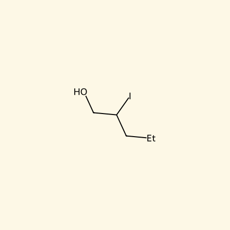 CCCC(I)CO